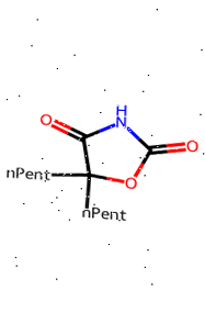 CCCCCC1(CCCCC)OC(=O)NC1=O